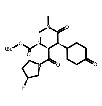 CN(C)C(=O)[C@@H](C1CCC(=O)CC1)[C@H](NC(=O)OC(C)(C)C)C(=O)N1CC[C@H](F)C1